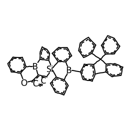 c1ccc(C2(c3ccccc3)c3ccccc3-c3ccc(B4c5ccccc5[Si]5(c6ccccc64)c4ccccc4B4c6ccccc6Oc6cccc5c64)cc32)cc1